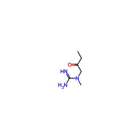 CCC(=O)CN(C)C(=N)N